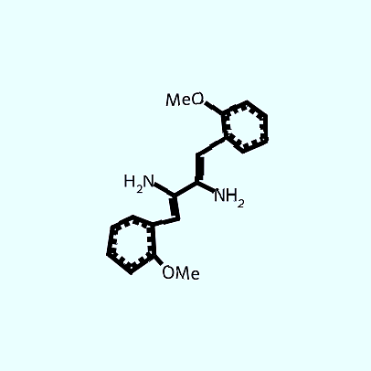 COc1ccccc1C=C(N)C(N)=Cc1ccccc1OC